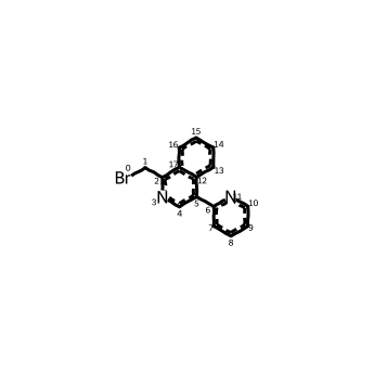 BrCc1ncc(-c2ccccn2)c2ccccc12